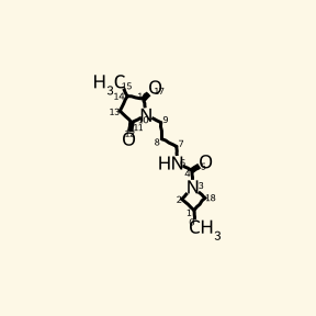 CC1CN(C(=O)NCCCN2C(=O)CC(C)C2=O)C1